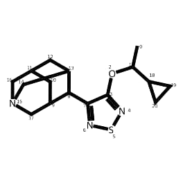 CC(Oc1nsnc1C1C2CC3CC1CN(C3)C2)C1CC1